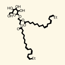 CC/C=C\C/C=C\C/C=C\CCCCCCCC(=O)OCC(COC1OC(CO)C(O)C(O)C1O)OC(=O)CCCCCCC/C=C\C/C=C\C/C=C\CC